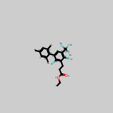 CCOC(=O)CCc1c(F)c(-c2c(C)cc(C)cc2C)cc(C(F)(F)F)c1F